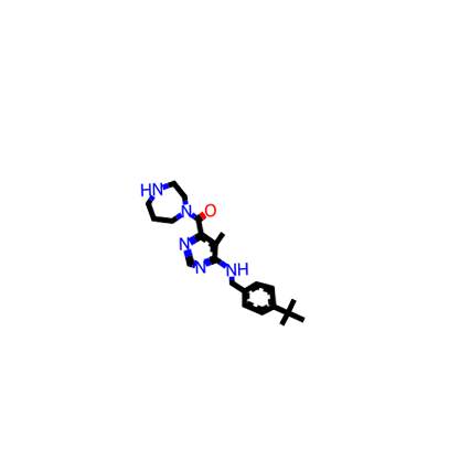 Cc1c(NCc2ccc(C(C)(C)C)cc2)ncnc1C(=O)N1CCCNCC1